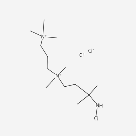 CC(C)(CC[N+](C)(C)CCC[N+](C)(C)C)NCl.[Cl-].[Cl-]